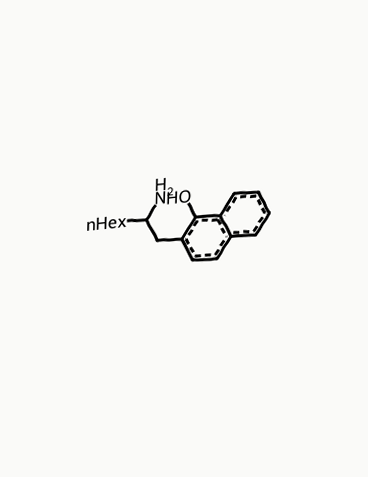 CCCCCCC(N)Cc1ccc2ccccc2c1O